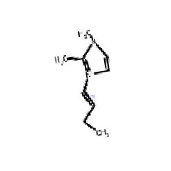 CC/C=C/[n+]1ccn(C)c1C